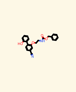 N#Cc1ccc(-c2ccccc2O)c(OCCNC(=O)OCc2ccccc2)c1